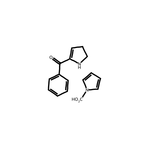 O=C(C1=CCCN1)c1ccccc1.O=C(O)n1cccc1